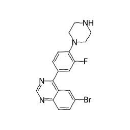 Fc1cc(-c2ncnc3ccc(Br)cc23)ccc1N1CCNCC1